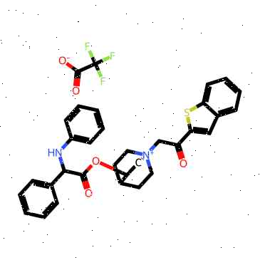 O=C(C[N+]12CCC(CC1)C(OC(=O)C(Nc1ccccc1)c1ccccc1)C2)c1cc2ccccc2s1.O=C([O-])C(F)(F)F